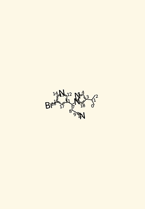 CC(C)c1cnn(C(CC#N)c2cncc(Br)c2)c1